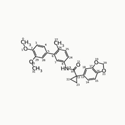 COc1ccc(-c2cc(NC(=O)C3(c4ccc5c(c4)OCO5)CC3)ccc2C)cc1OC